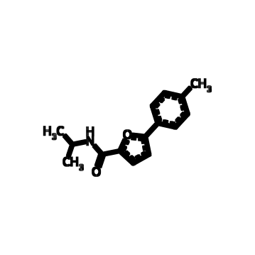 Cc1ccc(-c2ccc(C(=O)NC(C)C)o2)cc1